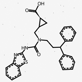 O=C(O)[C@H]1CC1CN(CCC(c1ccccc1)c1ccccc1)C(=O)Nc1nc2ccccc2s1